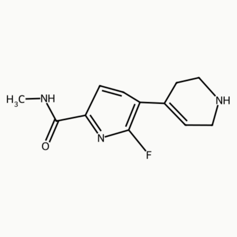 CNC(=O)c1ccc(C2=CCNCC2)c(F)n1